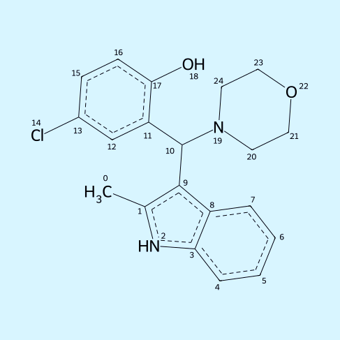 Cc1[nH]c2ccccc2c1C(c1cc(Cl)ccc1O)N1CCOCC1